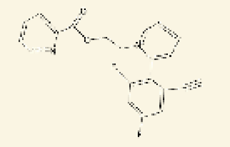 C#Cc1cc(F)cc(F)c1-c1cccc[n+]1CCOC(=O)c1ccccn1